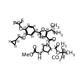 COC(=O)N[C@@H]1C[C@@H](C(=O)OC(C)(C)C(=O)O)N(C(=O)c2nc(-c3ccc(OC(F)F)c(OCC4CC4)c3)oc2[C@H](C)N)C1